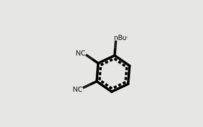 CCC[CH]c1cccc(C#N)c1C#N